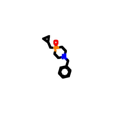 O=P1(CC2CC2)CCN(Cc2ccccc2)CC1